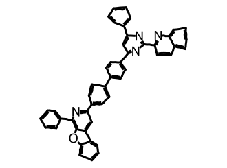 c1ccc(-c2cc(-c3ccc(-c4ccc(-c5cc6c(oc7ccccc76)c(-c6ccccc6)n5)cc4)cc3)nc(-c3ccc4ccccc4n3)n2)cc1